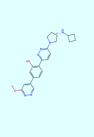 COc1cc(-c2ccc(-c3ccc(N4CC[C@H](NC5CCC5)C4)nn3)c(O)c2)cnn1